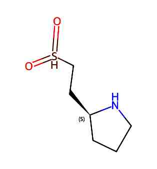 O=[SH](=O)CC[C@@H]1CCCN1